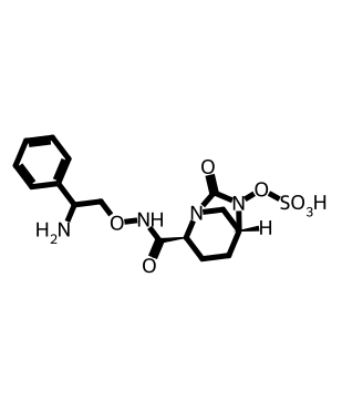 NC(CONC(=O)[C@@H]1CC[C@@H]2CN1C(=O)N2OS(=O)(=O)O)c1ccccc1